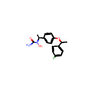 CC(Oc1ccc(C(C)N(O)C(N)=O)cc1)c1ccc(F)cc1